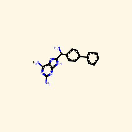 Nc1nc(N)c2nc(C(N)c3ccc(-c4ccccc4)cc3)[nH]c2n1